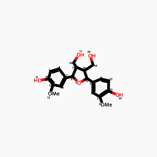 COc1cc(C2OC(c3ccc(O)c(OC)c3)C(CO)C2CO)ccc1O